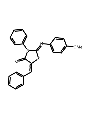 COc1ccc(N=C2SC(=Cc3ccccc3)C(=O)N2c2ccccc2)cc1